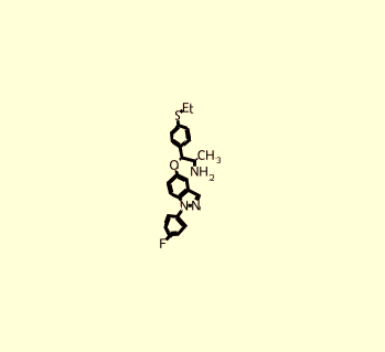 CCSc1ccc([C@@H](Oc2ccc3c(cnn3-c3ccc(F)cc3)c2)[C@H](C)N)cc1